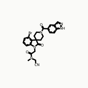 CN(CC#N)C(=O)CN1C(=O)C2(CCN(C(=O)c3ccc4[nH]ncc4c3)CC2)c2c(Br)cccc21